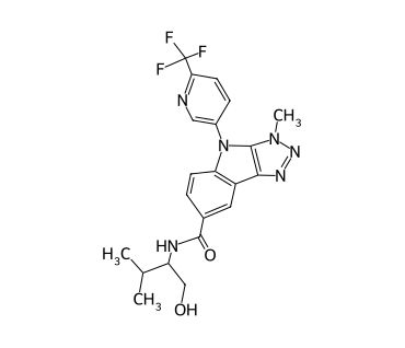 CC(C)C(CO)NC(=O)c1ccc2c(c1)c1nnn(C)c1n2-c1ccc(C(F)(F)F)nc1